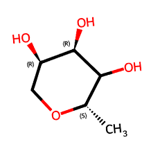 C[C@@H]1OC[C@@H](O)[C@@H](O)C1O